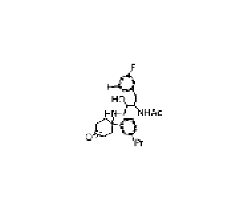 CC(=O)NC(Cc1cc(F)cc(F)c1)C(O)CNC1(c2cccc(C(C)C)c2)CC[S+]([O-])CC1